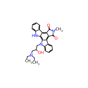 CCN(CC)CC(O)Cn1c2ccccc2c2c3c(c4c5ccccc5[nH]c4c21)C(=O)N(C)C3=O